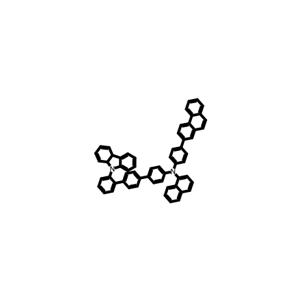 C1=CC2c3ccccc3N(c3ccccc3-c3ccc(-c4ccc(N(c5ccc(-c6ccc7c(ccc8ccccc87)c6)cc5)c5cccc6ccccc56)cc4)cc3)C2C=C1